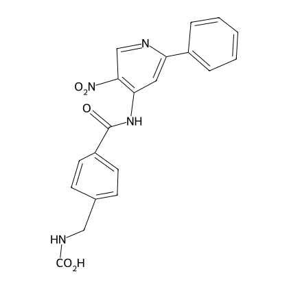 O=C(O)NCc1ccc(C(=O)Nc2cc(-c3ccccc3)ncc2[N+](=O)[O-])cc1